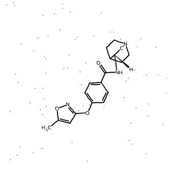 Cc1cc(Oc2ccc(C(=O)N[C@H]3CN4CCC3CC4)cc2)no1